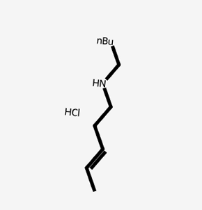 CC=CCCNCCCCC.Cl